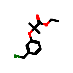 CCOC(=O)C(C)(C)Oc1cccc(CBr)c1